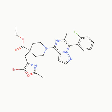 CCOC(=O)C1(Cc2nc(C)oc2Br)CCN(c2nc(C)c(-c3ccccc3F)n3nccc23)CC1